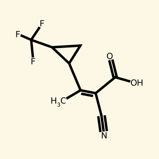 CC(=C(C#N)C(=O)O)C1CC1C(F)(F)F